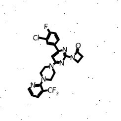 O=C1CCN1c1nc(-c2ccc(F)c(Cl)c2)cc(N2CCN(c3ncccc3C(F)(F)F)CC2)n1